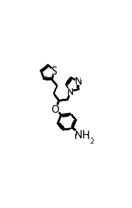 Nc1ccc(OC(CCc2cccs2)Cn2ccnc2)cc1